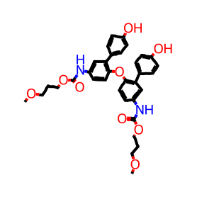 COCCCOC(=O)Nc1ccc(Oc2ccc(NC(=O)OCCCOC)cc2-c2ccc(O)cc2)c(-c2ccc(O)cc2)c1